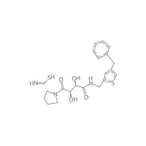 N=C(S)[C@H]1CCCN1C(=O)[C@H](O)[C@@H](O)C(=O)NCc1cc(Cc2ccccc2)cs1